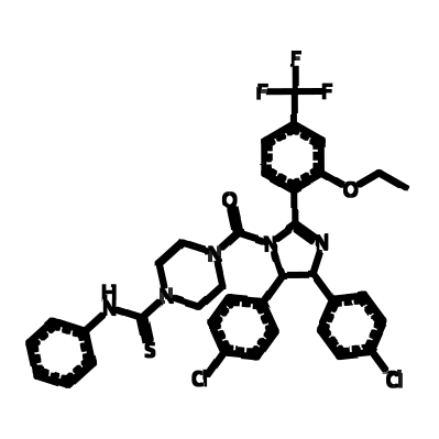 CCOc1cc(C(F)(F)F)ccc1C1=NC(c2ccc(Cl)cc2)C(c2ccc(Cl)cc2)N1C(=O)N1CCN(C(=S)Nc2ccccc2)CC1